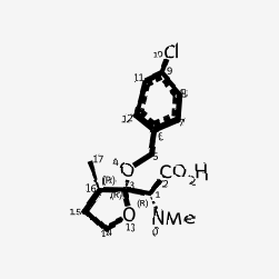 CN[C@@H](C(=O)O)[C@@]1(OCc2ccc(Cl)cc2)OCC[C@H]1C